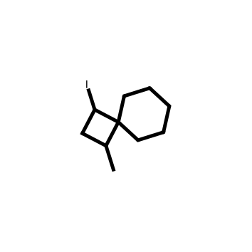 CC1CC(I)C12CCCCC2